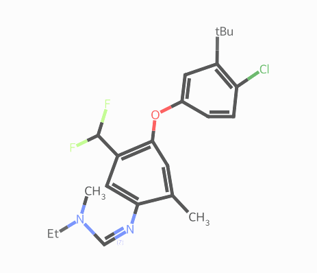 CCN(C)/C=N\c1cc(C(F)F)c(Oc2ccc(Cl)c(C(C)(C)C)c2)cc1C